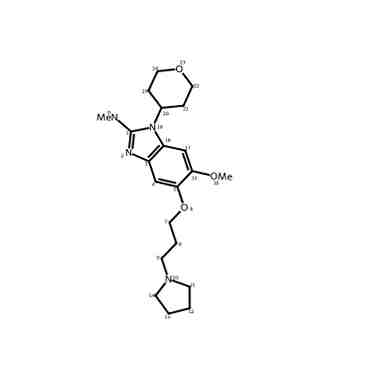 CNc1nc2cc(OCCCN3CCCC3)c(OC)cc2n1C1CCOCC1